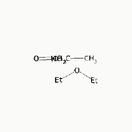 C=O.CC(=O)O.CCOCC